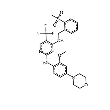 COc1cc(N2CCOCC2)ccc1Nc1cc(NCc2ccccc2S(C)(=O)=O)c(C(F)(F)F)cn1